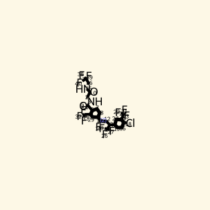 O=C(CNC(=O)c1ccc(/C(F)=C/C(c2ccc(Cl)c(C(F)(F)F)c2)C(F)(F)F)cc1C(F)(F)F)NCC(F)(F)F